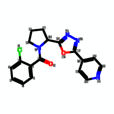 O=C(c1ccccc1Cl)N1CCCC1c1nnc(-c2ccncc2)o1